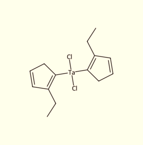 CCC1=[C]([Ta]([Cl])([Cl])[C]2=C(CC)C=CC2)CC=C1